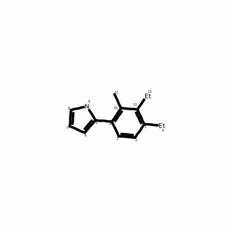 CCc1ccc(C2=CC=C[N]2)c(C)c1CC